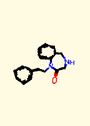 O=C1CNCc2ccccc2N1CCc1ccccc1